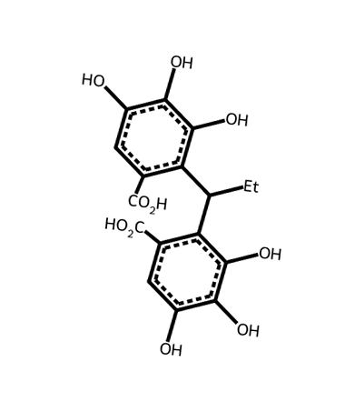 CCC(c1c(C(=O)O)cc(O)c(O)c1O)c1c(C(=O)O)cc(O)c(O)c1O